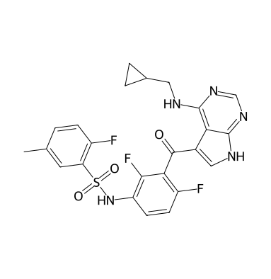 Cc1ccc(F)c(S(=O)(=O)Nc2ccc(F)c(C(=O)c3c[nH]c4ncnc(NCC5CC5)c34)c2F)c1